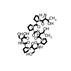 C[C@@H](O)[C@H](N)C(=O)N1CCC[C@H]1C(=O)N1CCC[C@H]1C(=O)N[C@H](C(=O)N1CCC[C@H]1C(=O)N[C@@H](CO)C(=O)N1CCC[C@H]1C(=O)N[C@@H](CO)C(=O)O)[C@@H](C)O